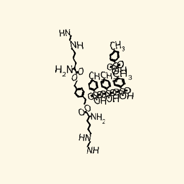 Cc1ccc(S(=O)(=O)O)cc1.Cc1ccc(S(=O)(=O)O)cc1.Cc1ccc(S(=O)(=O)O)cc1.Cc1ccc(S(=O)(=O)O)cc1.N=CCNCCCCC(N)C(=O)OCCc1ccc(CCOC(=O)C(N)CCCCNCC=N)cc1